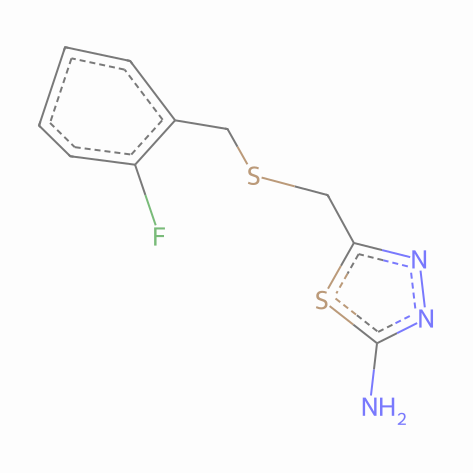 Nc1nnc(CSCc2ccccc2F)s1